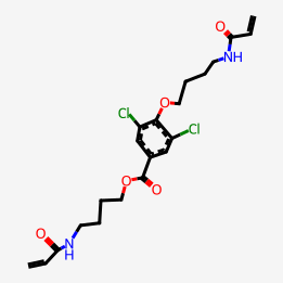 C=CC(=O)NCCCCOC(=O)c1cc(Cl)c(OCCCCNC(=O)C=C)c(Cl)c1